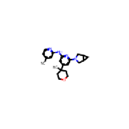 N#Cc1ccnc(Nc2cc(C3(C#N)CCOCC3)cc(N3CC4CC4C3)n2)c1